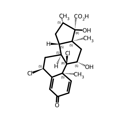 C[C@H]1C[C@H]2[C@@H]3C[C@H](Cl)C4=CC(=O)C=C[C@]4(C)[C@@]3(Cl)[C@@H](O)C[C@]2(C)[C@@]1(O)C(=O)O